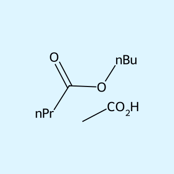 CC(=O)O.CCCCOC(=O)CCC